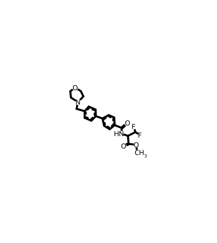 COC(=O)C(NC(=O)c1ccc(-c2ccc(CN3CCOCC3)cc2)cc1)C(F)F